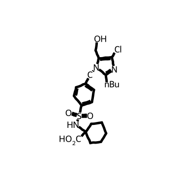 CCCCc1nc(Cl)c(CO)n1Cc1ccc(S(=O)(=O)NC2(C(=O)O)CCCCC2)cc1